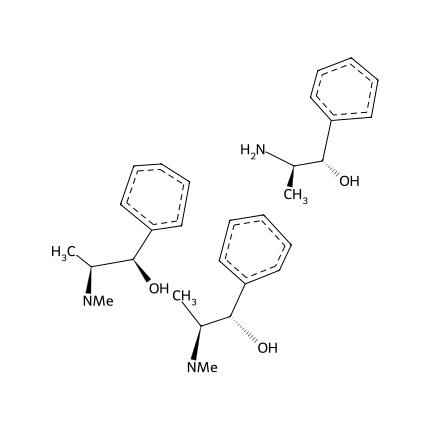 CN[C@@H](C)[C@@H](O)c1ccccc1.CN[C@@H](C)[C@H](O)c1ccccc1.C[C@@H](N)[C@@H](O)c1ccccc1